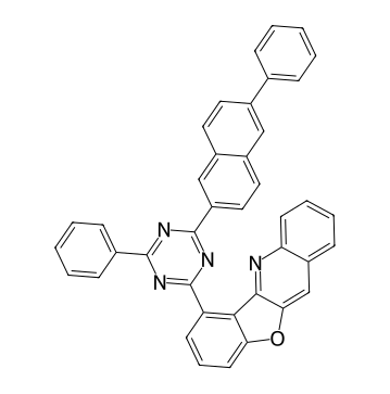 c1ccc(-c2ccc3cc(-c4nc(-c5ccccc5)nc(-c5cccc6oc7cc8ccccc8nc7c56)n4)ccc3c2)cc1